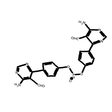 Nc1ncnc(-c2ccc(O[PH](=O)Oc3ccc(-c4ncnc(N)c4C=O)cc3)cc2)c1C=O